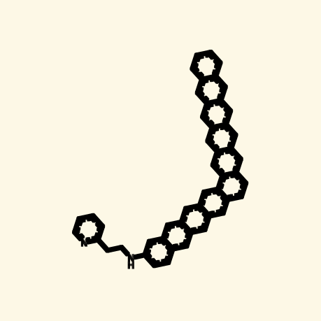 c1ccc(CCNc2ccc3cc4cc5cc6ccc7cc8cc9cc%10cc%11ccccc%11cc%10cc9cc8cc7c6cc5cc4cc3c2)nc1